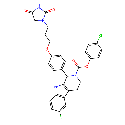 O=C1CN(CCCOc2ccc(C3c4[nH]c5ccc(Cl)cc5c4CCN3C(=O)Oc3ccc(Cl)cc3)cc2)C(=O)N1